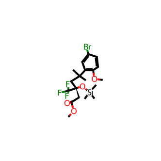 COC(=O)C[C@@](CC(C)(C)c1cc(Br)ccc1OC)(O[Si](C)(C)C)C(F)(F)F